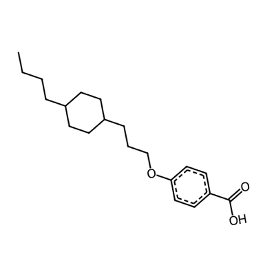 CCCCC1CCC(CCCOc2ccc(C(=O)O)cc2)CC1